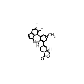 CN1C=C2C(=C(C3=C[C@@H]4COC(=O)N4CC3)C1)NN=C1C=Cc3cc(F)c(F)c2c31